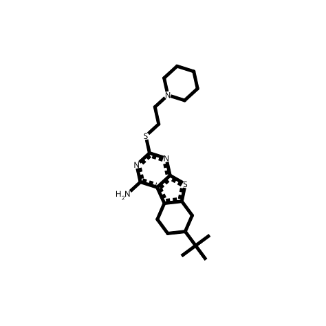 CC(C)(C)C1CCc2c(sc3nc(SCCN4CCCCC4)nc(N)c23)C1